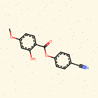 COc1ccc(C(=O)Oc2ccc(C#N)cc2)c(O)c1